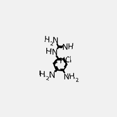 Cl.N=C(N)Nc1ccc(N)c(N)c1